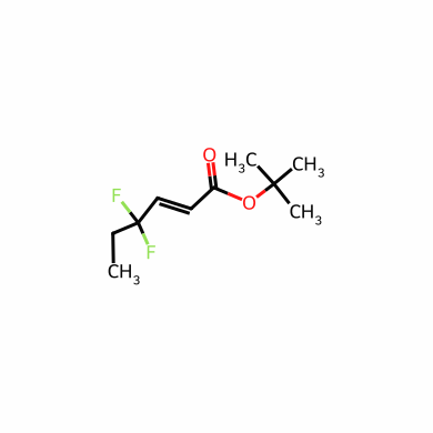 CCC(F)(F)C=CC(=O)OC(C)(C)C